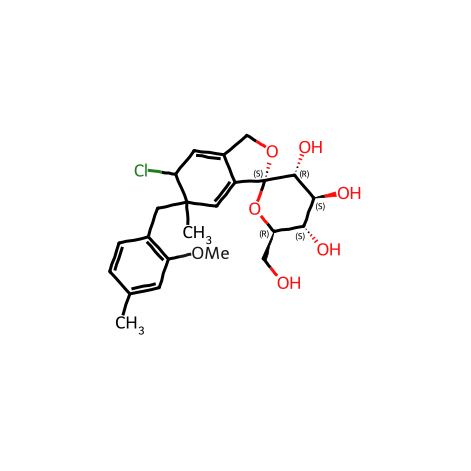 COc1cc(C)ccc1CC1(C)C=C2C(=CC1Cl)CO[C@]21O[C@H](CO)[C@@H](O)[C@H](O)[C@H]1O